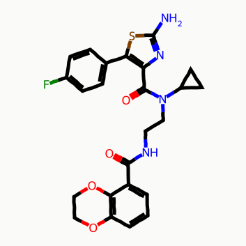 Nc1nc(C(=O)N(CCNC(=O)c2cccc3c2OCCO3)C2CC2)c(-c2ccc(F)cc2)s1